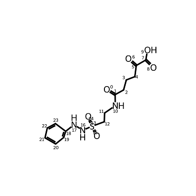 O=C(CCCC(=O)C(=O)O)NCCS(=O)(=O)NNc1ccccc1